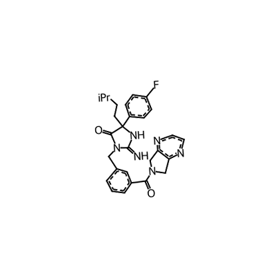 CC(C)CCC1(c2ccc(F)cc2)NC(=N)N(Cc2cccc(C(=O)N3Cc4nccnc4C3)c2)C1=O